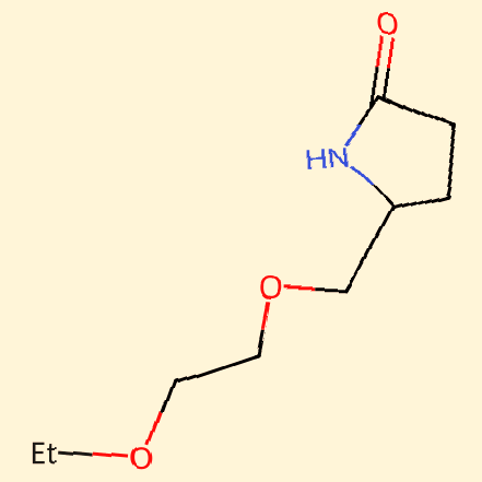 CCOCCOCC1CCC(=O)N1